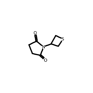 O=C1CCC(=O)N1C1CSC1